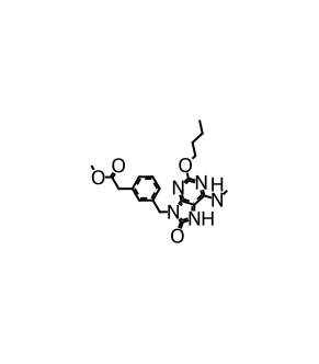 CCCCOc1nc(NC)c2[nH]c(=O)n(Cc3cccc(CC(=O)OC)c3)c2n1